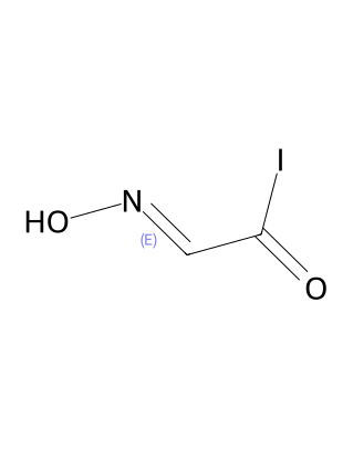 O=C(I)/C=N/O